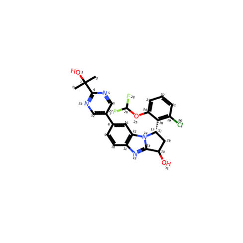 CC(C)(O)c1ncc(-c2ccc3nc4n(c3c2)[C@H](c2c(Cl)cccc2OC(F)F)CC4O)cn1